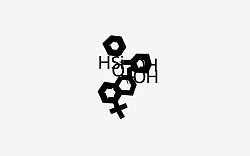 CC(C)(C)c1cccc2c1CC[C@](O)(CO)C2O[SiH](c1ccccc1)c1ccccc1